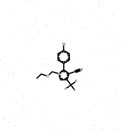 CCOCn1cc(C(F)(F)F)c(C#N)c1-c1ccc(Cl)cc1